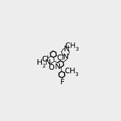 Cc1cc(F)ccc1-c1cc(CN2CCCN(C)CC2)cc(C(C(N)=O)c2c(Cl)cccc2Cl)n1